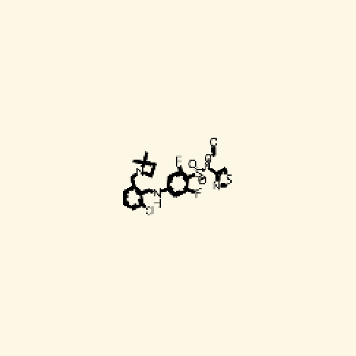 CC1(C)CCN1Cc1cccc(Cl)c1CNc1cc(F)c(S(=O)(=O)N(OC=O)c2cscn2)c(F)c1